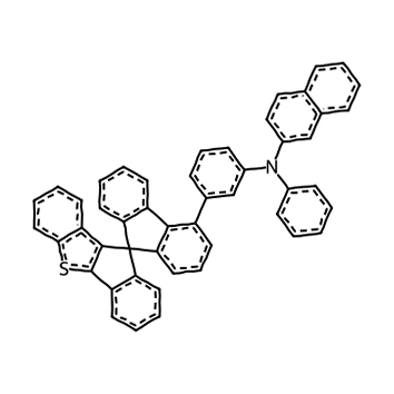 c1ccc(N(c2cccc(-c3cccc4c3-c3ccccc3C43c4ccccc4-c4sc5ccccc5c43)c2)c2ccc3ccccc3c2)cc1